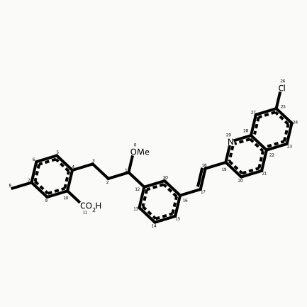 COC(CCc1ccc(C)cc1C(=O)O)c1cccc(/C=C/c2ccc3ccc(Cl)cc3n2)c1